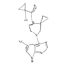 Cc1c[nH]c2ncnc(N3CCN(C(=O)C4(C#N)CC4)C4(CC4)C3)c12